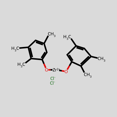 Cc1cc(C)c(C)c([O][Zr+2][O]c2cc(C)cc(C)c2C)c1.[Cl-].[Cl-]